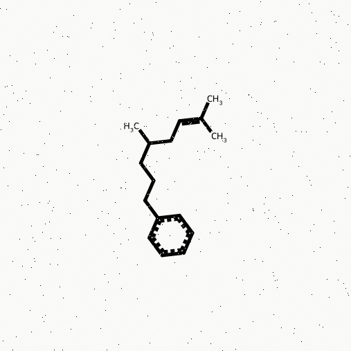 CC(C)=CCC(C)CCCc1ccccc1